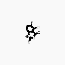 O=c1[nH]c2ccc(F)c(Cl)c2c(=O)o1